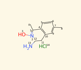 CC(=NO)c1ccc(C)cc1CCN.Cl